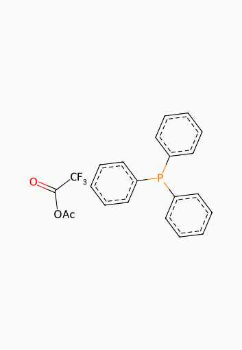 CC(=O)OC(=O)C(F)(F)F.c1ccc(P(c2ccccc2)c2ccccc2)cc1